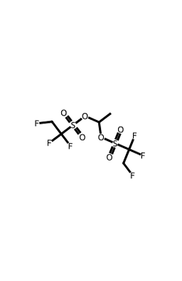 CC(OS(=O)(=O)C(F)(F)CF)OS(=O)(=O)C(F)(F)CF